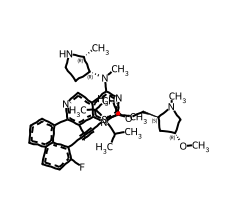 CO[C@@H]1C[C@@H](COc2nc(N(C)[C@@H]3CCN[C@@H]3C)c3cnc(-c4cccc5ccc(F)c(C#C[Si](C(C)C)(C(C)C)C(C)C)c45)c(F)c3n2)N(C)C1